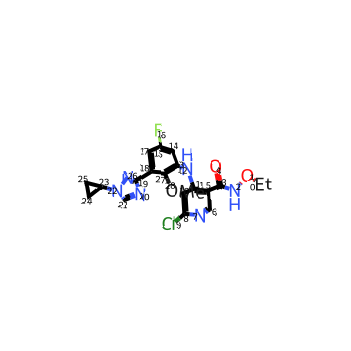 CCONC(=O)c1cnc(Cl)cc1Nc1cc(F)cc(-c2ncn(C3CC3)n2)c1OC